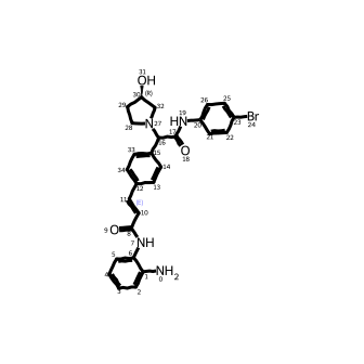 Nc1ccccc1NC(=O)/C=C/c1ccc(C(C(=O)Nc2ccc(Br)cc2)N2CC[C@@H](O)C2)cc1